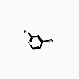 C[C](C)c1ccnc(Br)c1